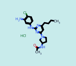 CCCCc1cc(N2CCC(NC(C)=O)C2)nc(Nc2ccc(Cl)c(N)c2)n1.Cl